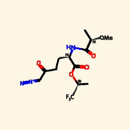 CO[C@@H](C)C(=O)N[C@@H](CCC(=O)C=[N+]=[N-])C(=O)O[C@H](C)C(F)(F)F